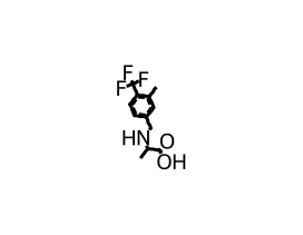 Cc1cc(CNC(C)C(=O)O)ccc1C(F)(F)F